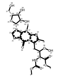 COC(=O)N[C@H](C(=O)OC)C(Cc1c(C)nc2n(C)c3c(ncn3[C@@H]3O[C@H](CO)[C@@H](O)[C@H]3O)c(=O)n12)OO